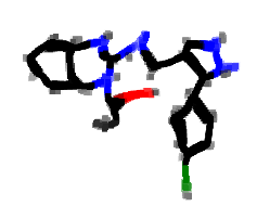 CCCC(=O)n1c(NCc2cn[nH]c2-c2ccc(F)cc2)nc2ccccc21